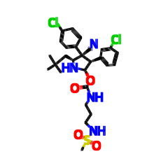 CC(C)(C)C[C@@H]1N[C@H](OC(=O)NCCCNS(C)(=O)=O)[C@H](c2cccc(Cl)c2)[C@@]1(C#N)c1ccc(Cl)cc1